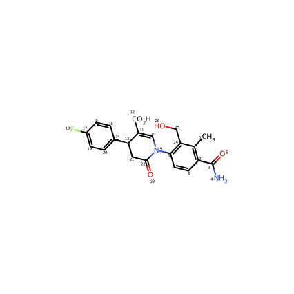 Cc1c(C(N)=O)ccc(N2C=C(C(=O)O)[C@H](c3ccc(F)cc3)CC2=O)c1CO